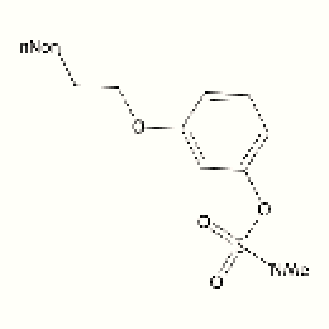 CCCCCCCCCCCOc1cccc(OS(=O)(=O)NC)c1